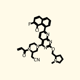 C=CC(=O)N1CCN(c2nc(OCC3CCCN3C)nc3nc(-c4cccc5ccc(F)c(Cl)c45)ccc23)CC1CC#N